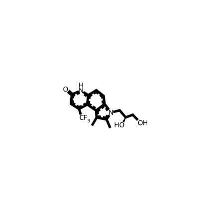 Cc1c(C)n(C[C@H](O)CO)c2ccc3[nH]c(=O)cc(C(F)(F)F)c3c12